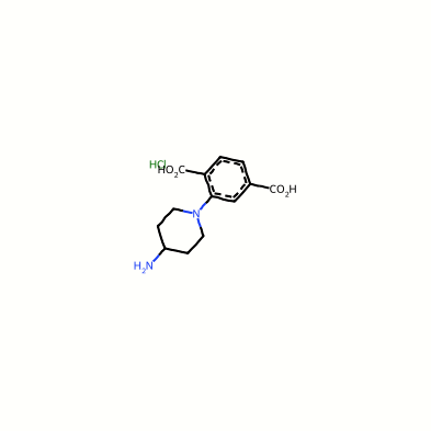 Cl.NC1CCN(c2cc(C(=O)O)ccc2C(=O)O)CC1